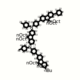 CCCCCCCCC1(CCCCCCCC)c2cc(-c3ccccc3)ccc2-c2ccc(-c3ccc(N(c4ccc(C)cc4)c4ccc5c(c4)C(CCCCCCCC)(CCCCCCCC)c4cc(N(c6ccc(C)cc6)c6ccc(-c7ccc8c(c7)C(CCCCCCCC)(CCCCCCCC)c7cc(C(C)CC)ccc7-8)cc6)ccc4-5)cc3)cc21